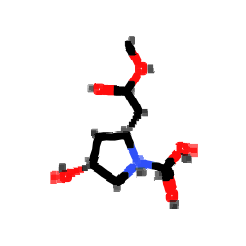 COC(=O)C[C@H]1C[C@@H](O)CN1C(=O)O